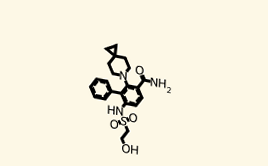 NC(=O)c1ccc(NS(=O)(=O)CCO)c(-c2ccccc2)c1N1CCC2(CC1)CC2